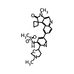 CN1CCC(c2ncc(-c3ccc4ncc5c(c4c3)C3(CCC3)C(=O)N5C)cc2NS(C)(=O)=O)CC1